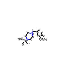 CO[Si](C)(C)CC(C)CN1CCN([Si](C)(C)C(C)(C)C)CC1